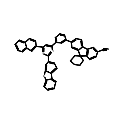 N#Cc1ccc2c(c1)-c1ccc(-c3cccc(-c4cc(-c5ccc6ccccc6c5)nc(-c5ccc6c(c5)oc5ccccc56)n4)c3)cc1C21CCCCC1